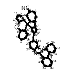 N#Cc1ccc2c(c1)C1(c3ccccc3Oc3ccccc31)c1cc(-c3ccc4nc5c6ccccc6c6ccccc6n5c4c3)ccc1-2